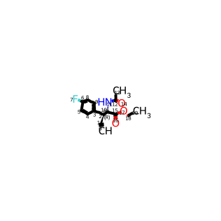 C#C[C@@H](c1ccc(F)cc1)[C@H](NC(C)=O)C(=O)OCC